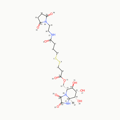 O=C(CCCSSCCC(=O)OC[C@@H]1[C@@H](O)[C@H](O)[C@H](O)[C@H]2NC(=O)C(=O)N12)NCCN1C(=O)CCC1=O